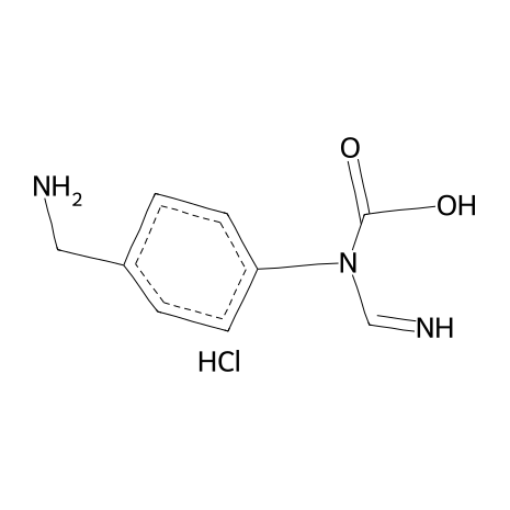 Cl.N=CN(C(=O)O)c1ccc(CN)cc1